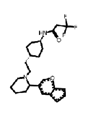 O=C(CC(F)(F)F)N[C@H]1CC[C@H](CCN2CCCCC2c2coc3cccc-3c2)CC1